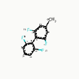 Cc1cc(F)c(-c2c(F)c[c]cc2F)c(F)c1